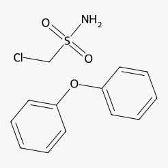 NS(=O)(=O)CCl.c1ccc(Oc2ccccc2)cc1